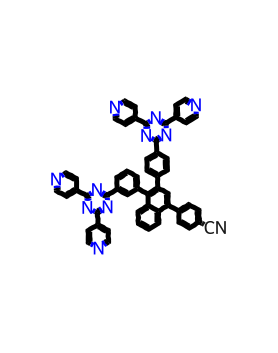 N#Cc1ccc(-c2cc(-c3ccc(-c4nc(-c5ccncc5)nc(-c5ccncc5)n4)cc3)c(-c3cccc(-c4nc(-c5ccncc5)nc(-c5ccncc5)n4)c3)c3ccccc23)cc1